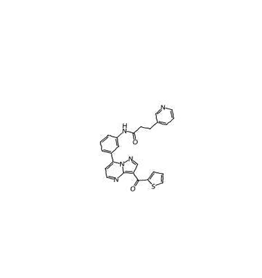 O=C(CCc1cccnc1)Nc1cccc(-c2ccnc3c(C(=O)c4cccs4)cnn23)c1